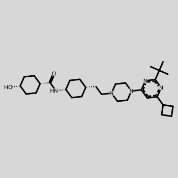 CC(C)(C)c1nc(C2CCC2)cc(N2CCN(CC[C@H]3CC[C@@H](NC(=O)[C@H]4CC[C@@H](O)CC4)CC3)CC2)n1